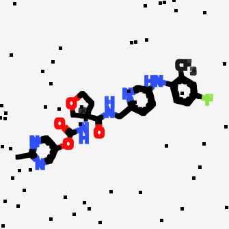 Cc1ncc(OC(=O)N[C@@]2(C(=O)NCc3ccc(Nc4ccc(F)cc4C(F)(F)F)cn3)CCOC2)cn1